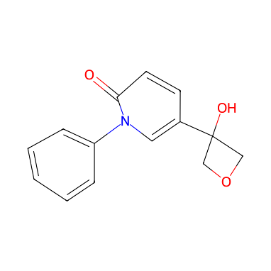 O=c1ccc(C2(O)COC2)cn1-c1ccccc1